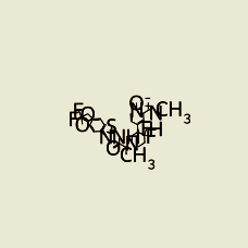 CNCc1cc(C2CN([C@@H](C)C(=O)Nc3nc4cc5c(cc4s3)OC(F)(F)O5)CCC2(F)F)cc[n+]1[O-]